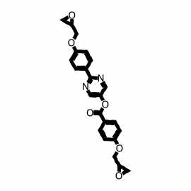 O=C(Oc1cnc(-c2ccc(OCC3CO3)cc2)nc1)c1ccc(OCC2CO2)cc1